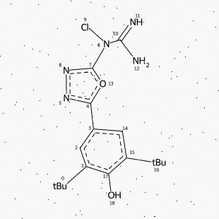 CC(C)(C)c1cc(-c2nnc(N(Cl)C(=N)N)o2)cc(C(C)(C)C)c1O